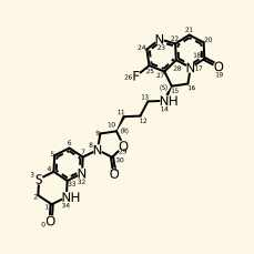 O=C1CSc2ccc(N3C[C@@H](CCCN[C@@H]4Cn5c(=O)ccc6ncc(F)c4c65)OC3=O)nc2N1